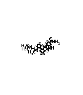 CN(C)CCCN(C)Cc1cccc(NC(=C2C(=O)Nc3cc(C(N)=O)ccc32)c2ccccc2)c1